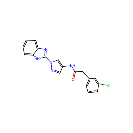 O=C(Cc1cccc(Cl)c1)Nc1cnn(-c2nc3ccccc3[nH]2)c1